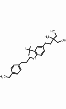 CCc1ccc(CCCOc2ccc(CCC(N)(CO)CO)cc2C(F)(F)F)cc1